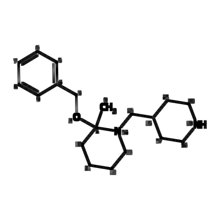 CC1(OCc2ccccc2)CCCCN1CC1CCNCC1